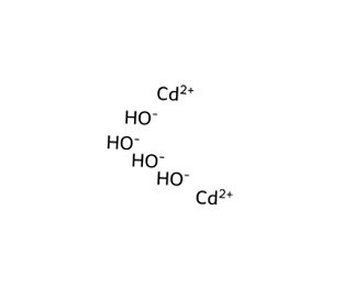 [Cd+2].[Cd+2].[OH-].[OH-].[OH-].[OH-]